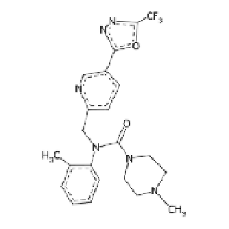 Cc1ccccc1N(Cc1ccc(-c2nnc(C(F)(F)F)o2)cn1)C(=O)N1CCN(C)CC1